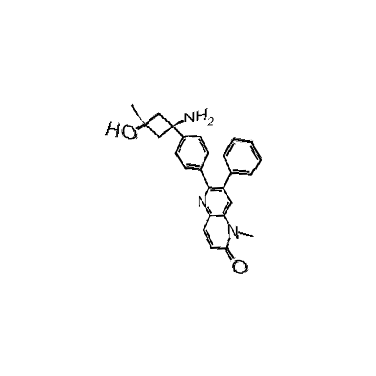 Cn1c(=O)ccc2nc(-c3ccc([C@]4(N)C[C@](C)(O)C4)cc3)c(-c3ccccc3)cc21